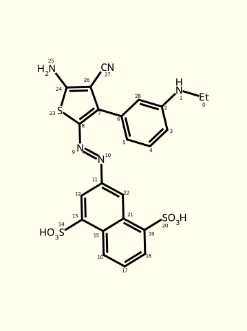 CCNc1cccc(-c2c(/N=N/c3cc(S(=O)(=O)O)c4cccc(S(=O)(=O)O)c4c3)sc(N)c2C#N)c1